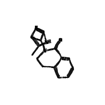 Cc1[nH]c2nc1C2N1CCc2ccccc2C1=O